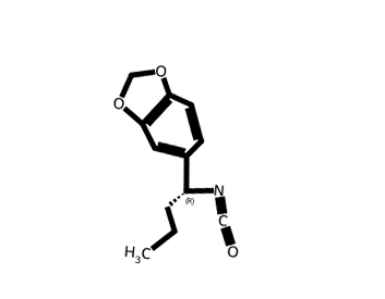 CCC[C@@H](N=C=O)c1ccc2c(c1)OCO2